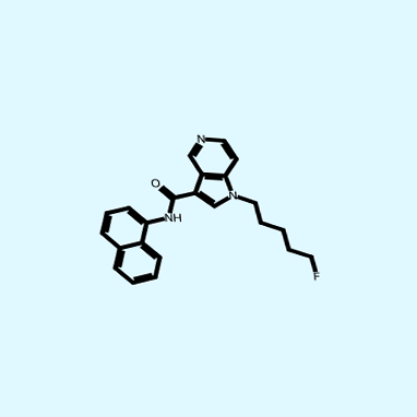 O=C(Nc1cccc2ccccc12)c1cn(CCCCCF)c2ccncc12